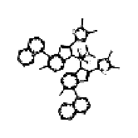 Cc1cc(C2=Cc3c(ccc(C)c3-c3cccc4ccccc34)[CH]2[Zr]([Cl])([Cl])([CH]2C(c3cc(C)c(C)o3)=Cc3c2ccc(C)c3-c2cccc3ccccc23)=[Si](C)C)oc1C